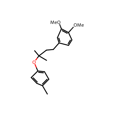 COc1ccc(CCC(C)(C)Oc2ccc(C)cc2)cc1OC